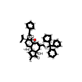 C=C(C)[C@]12C[C@@H](C)[C@@]34OC(c5ccccc5)(O[C@@H]1[C@@H]3C=C(COC(c1ccccc1)(c1ccccc1)c1ccccc1)C[C@]1(O)C(=O)C(C)=C[C@@H]41)O2